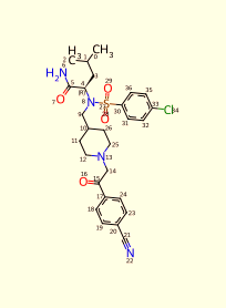 CC(C)C[C@H](C(N)=O)N(CC1CCN(CC(=O)c2ccc(C#N)cc2)CC1)S(=O)(=O)c1ccc(Cl)cc1